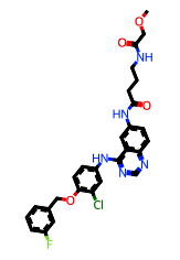 COCC(=O)NCCCC(=O)Nc1ccc2ncnc(Nc3ccc(OCc4cccc(F)c4)c(Cl)c3)c2c1